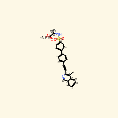 Cc1c(C#Cc2ccc(-c3ccc(S(=O)(=O)N[C@@H](C(=O)OC(C)(C)C)C(C)C)cc3)cc2)ncc2ccccc12